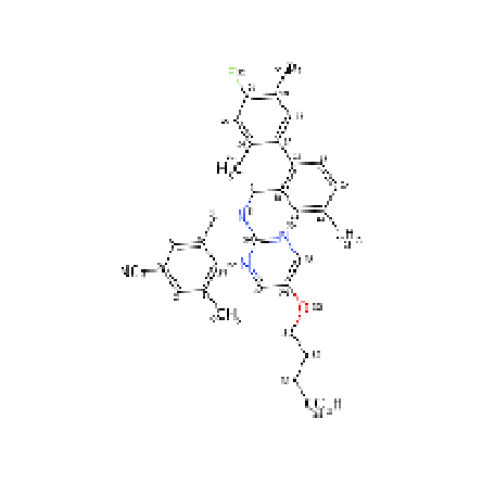 Cc1cc(C#N)cc(CN(Cc2cc(C)ccc2-c2cc(C(C)C)c(F)cc2C)c2ncc(OCCCC(=O)O)cn2)c1